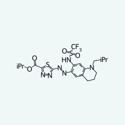 CC(C)CN1CCCc2cc(N=Nc3nnc(C(=O)OC(C)C)s3)c(NS(=O)(=O)C(F)(F)F)cc21